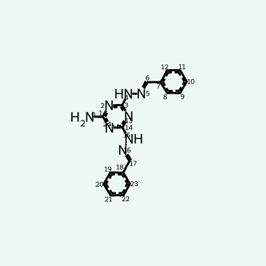 Nc1nc(NN=Cc2ccccc2)nc(NN=Cc2ccccc2)n1